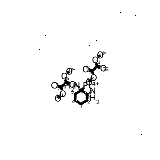 N[C@@H]1CCCC[C@]1(N)[Pt+4].O=C(O[O-])C(=O)O[O-].O=C(O[O-])C(=O)O[O-]